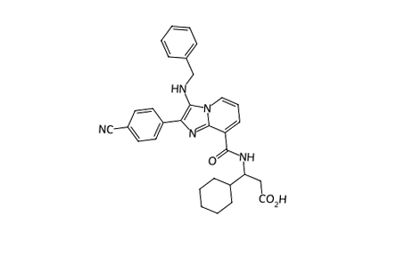 N#Cc1ccc(-c2nc3c(C(=O)NC(CC(=O)O)C4CCCCC4)cccn3c2NCc2ccccc2)cc1